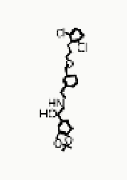 CC1(C)OCc2cc([C@@H](O)CNCCc3cccc(COCCCc4c(Cl)cccc4Cl)c3)ccc2O1